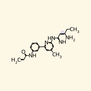 C=CC(=O)Nc1cccc(-c2cc(C)cc(NC(=N)/C=C(\N)CC)n2)c1